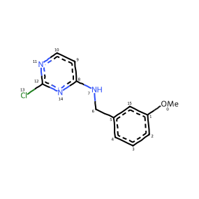 COc1cccc(CNc2ccnc(Cl)n2)c1